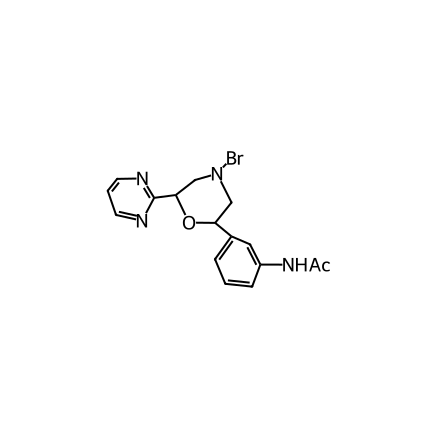 CC(=O)Nc1cccc(C2CN(Br)CC(c3ncccn3)O2)c1